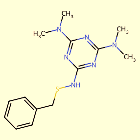 CN(C)c1nc(NSCc2ccccc2)nc(N(C)C)n1